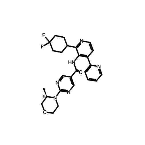 C[C@@H]1COCCN1c1ncc(C(=O)Nc2c(-c3ccccn3)ccnc2C2CCC(F)(F)CC2)cn1